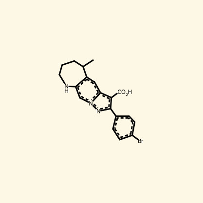 CC1CCCNc2cn3nc(-c4ccc(Br)cc4)c(C(=O)O)c3cc21